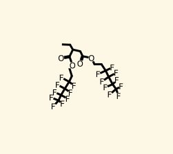 CCC(CC(=O)OCCC(F)(F)C(F)(F)C(F)(F)C(F)(F)F)C(=O)OCCC(F)(F)C(F)(F)C(F)(F)C(F)(F)F